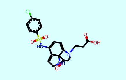 O=C(O)CCN1CCC(=O)C23NCC=C2C(NS(=O)(=O)c2ccc(Cl)cc2)=CC=C13